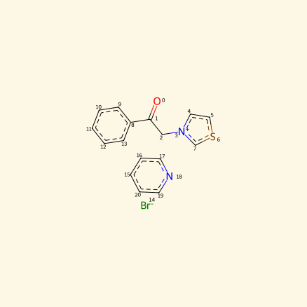 O=C(C[n+]1ccsc1)c1ccccc1.[Br-].c1ccncc1